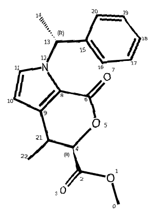 COC(=O)[C@@H]1OC(=O)c2c(ccn2[C@H](C)c2ccccc2)C1C